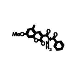 COc1cc(C)c2cc(C(=O)N(N)C(=O)c3ccccc3)c(=O)oc2c1